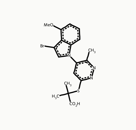 COc1cccc2c1c(Br)cn2-c1cc(SC(C)(C)C(=O)O)nnc1C